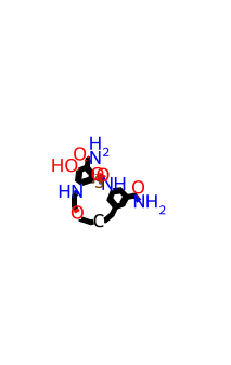 NC(=O)c1cc2cc(c1)NS(=O)(=O)c1cc(C(N)=O)c(O)cc1NCCOCCCCC2